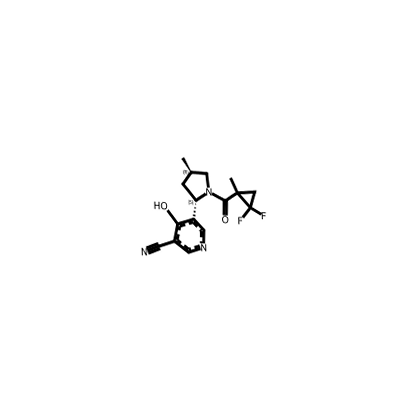 C[C@@H]1C[C@@H](c2cncc(C#N)c2O)N(C(=O)C2(C)CC2(F)F)C1